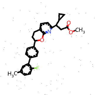 COC(=O)CC(c1ccc2c(n1)OC(c1ccc(-c3cc(C)ccc3F)cc1)CC2)C1CC1